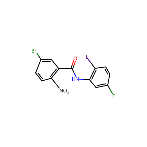 O=C(Nc1cc(F)ccc1I)c1cc(Br)ccc1[N+](=O)[O-]